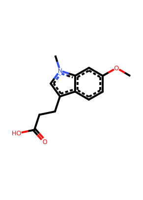 COc1ccc2c(CCC(=O)O)cn(C)c2c1